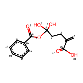 C=C(CCC(O)(O)OC(=O)c1ccccc1)C(=O)O